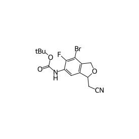 CC(C)(C)OC(=O)Nc1cc2c(c(Br)c1F)COC2CC#N